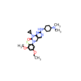 CCOc1cc(OC)c(F)c(N2Cc3cnc(NC4CCC(N(C)C)CC4)nc3N(C3CC3)C2=O)c1